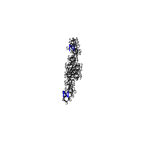 CN1c2ccccc2Cc2ccc(-c3ccc(-c4ccc5c(c4)C4(c6ccccc6-c6ccccc64)c4cc(-c6ccc(-c7ccc8c(c7)N(C)c7ccccc7C8)cc6)ccc4-5)cc3)cc21